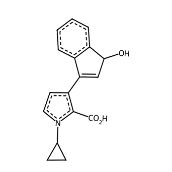 O=C(O)c1c(C2=CC(O)c3ccccc32)ccn1C1CC1